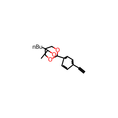 C#Cc1ccc(C23OCC(CCCC)(CO2)C(C)O3)cc1